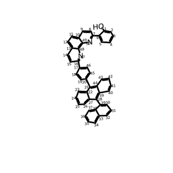 Oc1ccccc1-c1ccc2ccc3ccc(-c4ccc(-c5c6ccccc6c(-c6cccc7ccccc67)c6ccccc56)cc4)nc3c2n1